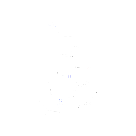 Nc1ccc(C(=O)N2CCc3cccn3-c3ccccc32)cc1